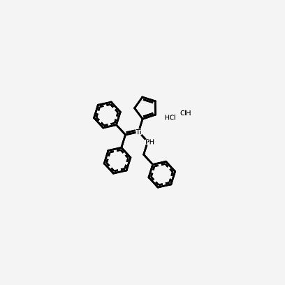 C1=CC[C]([Ti]([PH]Cc2ccccc2)=[C](c2ccccc2)c2ccccc2)=C1.Cl.Cl